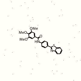 COc1cc(C(=O)Nc2ccc(-c3nc4ccccc4s3)cc2)cc(OC)c1OC